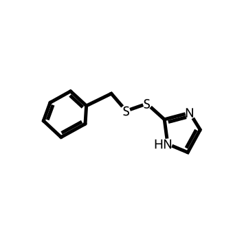 c1ccc(CSSc2ncc[nH]2)cc1